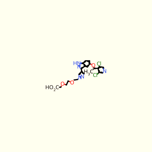 C[C@@H](Oc1ccc2[nH]nc(-c3cnn(CCOCCOCC(=O)O)c3)c2c1)c1c(Cl)cncc1Cl